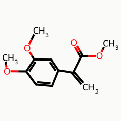 C=C(C(=O)OC)c1ccc(OC)c(OC)c1